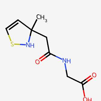 CC1(CC(=O)NCC(=O)O)C=CSN1